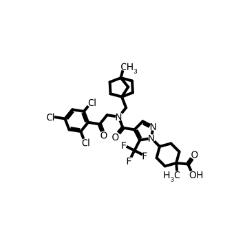 CC12CCC(CN(CC(=O)c3c(Cl)cc(Cl)cc3Cl)C(=O)c3cnn(C4CCC(C)(C(=O)O)CC4)c3C(F)(F)F)(CC1)C2